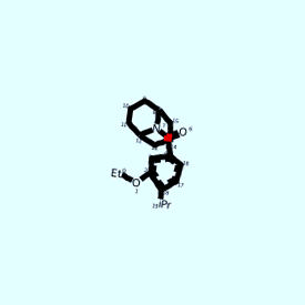 CCOc1cc(C(=O)N2C3CCCC2CCC3)ccc1C(C)C